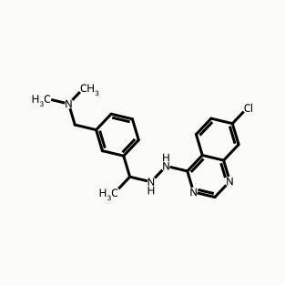 CC(NNc1ncnc2cc(Cl)ccc12)c1cccc(CN(C)C)c1